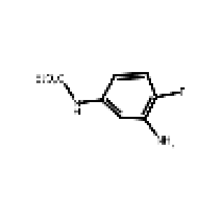 CCOC(=O)Nc1ccc(F)c(N)c1